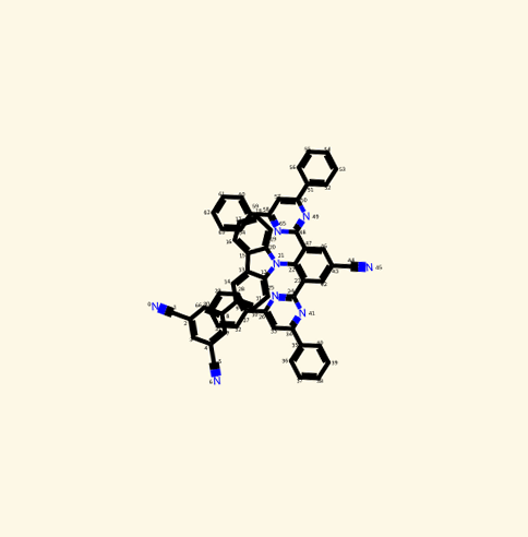 N#Cc1cc(C#N)cc(-c2ccc3c(c2)c2ccccc2n3-c2c(-c3nc(-c4ccccc4)cc(-c4ccccc4)n3)cc(C#N)cc2-c2nc(-c3ccccc3)cc(-c3ccccc3)n2)c1